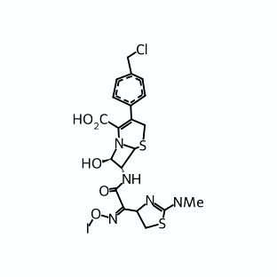 CNC1=NC(/C(=N/OI)C(=O)N[C@H]2C3SCC(c4ccc(CCl)cc4)=C(C(=O)O)N3[C@@H]2O)CS1